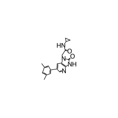 Cc1cc(C)cc(-c2cnc3[nH]c(=O)n(CC(=O)NC4CC4)c3c2)c1